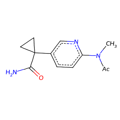 CC(=O)N(C)c1ccc(C2(C(N)=O)CC2)cn1